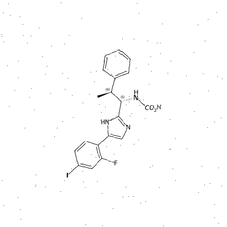 C[C@@H](c1ccccc1)[C@H](NC(=O)O)c1ncc(-c2ccc(I)cc2F)[nH]1